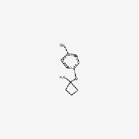 CC1(Oc2ccc(C(C)(C)C)cc2)CCC1